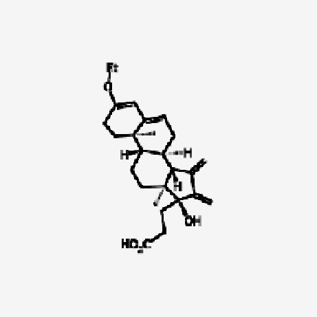 C=C1C(=C)[C@](O)(CCC(=O)O)[C@@]2(C)CC[C@H]3[C@@H](CC=C4C=C(OCC)CC[C@@]43C)[C@H]12